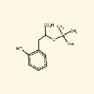 CC(C)(C)[Si](C)(C)OC(Cc1ccccc1O)C(=O)O